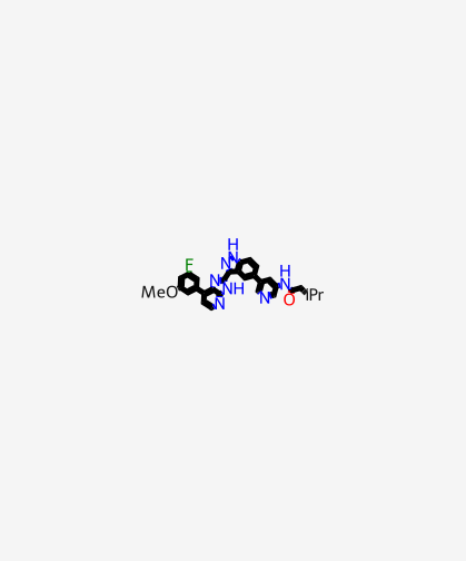 COc1cc(F)cc(-c2ccnc3[nH]c(-c4n[nH]c5ccc(-c6cncc(NC(=O)CC(C)C)c6)cc45)nc23)c1